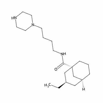 CC[C@@H]1C[C@@H]2CCC[C@](C(=O)NCCCCN3CCNCC3)(C1)C2